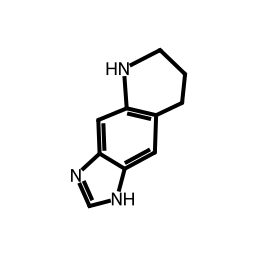 c1nc2cc3c(cc2[nH]1)CCCN3